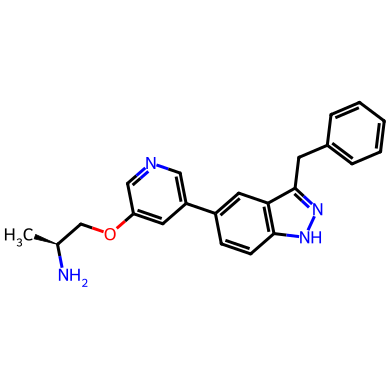 C[C@H](N)COc1cncc(-c2ccc3[nH]nc(Cc4ccccc4)c3c2)c1